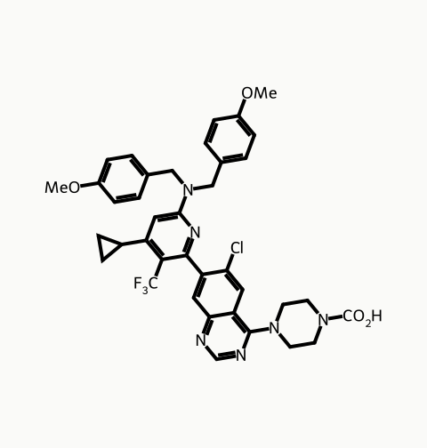 COc1ccc(CN(Cc2ccc(OC)cc2)c2cc(C3CC3)c(C(F)(F)F)c(-c3cc4ncnc(N5CCN(C(=O)O)CC5)c4cc3Cl)n2)cc1